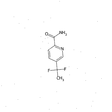 CC(F)(F)c1ccc(C(N)=O)nc1